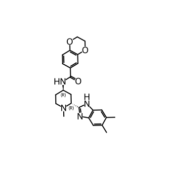 Cc1cc2nc([C@H]3C[C@H](NC(=O)c4ccc5c(c4)OCCO5)CCN3C)[nH]c2cc1C